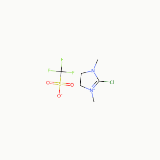 CN1CC[N+](C)=C1Cl.O=S(=O)([O-])C(F)(F)F